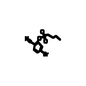 CCCCS(=O)(=O)Oc1cc(Br)ccc1C#N